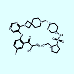 COC[C@@H]1CCCN1S(=O)(=O)N[C@@H]1CC[C@@H](CN2CCC3(CC2)CN(c2ncncc2Oc2ccc(F)cc2C(=O)N(C(C)C)C(C)C)C3)OC1